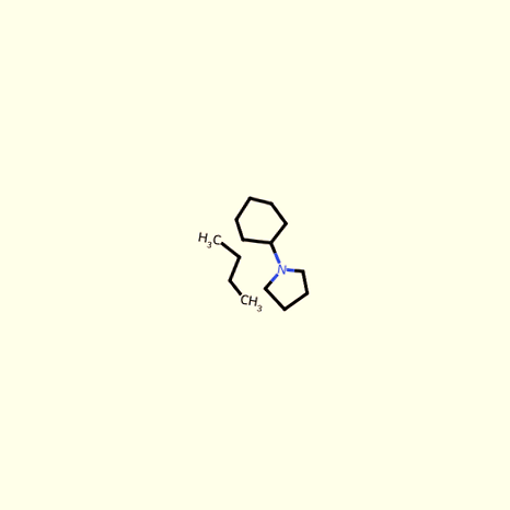 C1CCC(N2CCCC2)CC1.CCCC